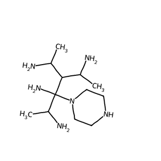 CC(N)C(C(C)N)C(N)(C(C)N)N1CCNCC1